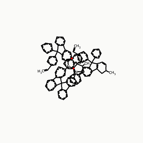 C=Cc1ccc(C2(c3ccccc3)C3=C(CC(C)C=C3)c3ccc(N(c4ccc5c(c4)C4(c6ccccc6-c6ccc(N(C7=c8ccccc8=CC(C)C7)c7ccc8c(c7)C(c7ccccc7)(c7ccc(C=C)cc7)c7ccccc7-8)cc64)c4ccccc4-5)c4cccc5ccccc45)cc32)cc1